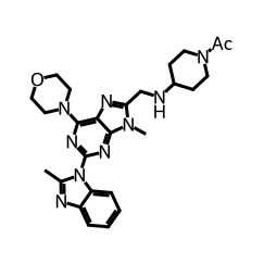 CC(=O)N1CCC(NCc2nc3c(N4CCOCC4)nc(-n4c(C)nc5ccccc54)nc3n2C)CC1